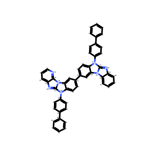 c1ccc(-c2ccc(-n3c4ccc(-c5ccc6c(c5)n5c7ncccc7nc5n6-c5ccc(-c6ccccc6)cc5)cc4n4c5ccccc5nc34)cc2)cc1